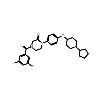 O=C(c1cc(F)cc(F)c1)N1CCN(c2ccc(OC3CCN(C4CCCC4)CC3)cc2)C(=O)C1